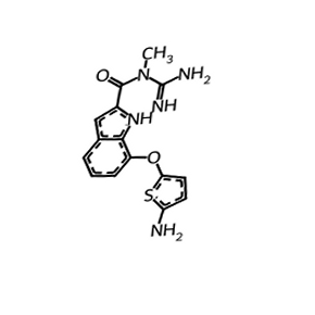 CN(C(=N)N)C(=O)c1cc2cccc(Oc3ccc(N)s3)c2[nH]1